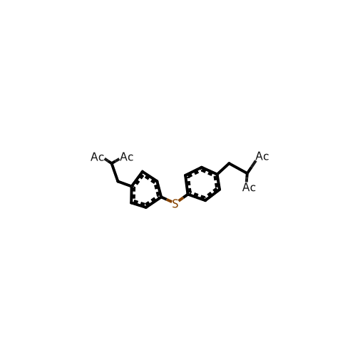 CC(=O)C(Cc1ccc(Sc2ccc(CC(C(C)=O)C(C)=O)cc2)cc1)C(C)=O